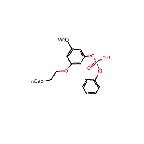 CCCCCCCCCCCCOc1cc(OC)cc(OP(=O)(O)Oc2[c]cccc2)c1